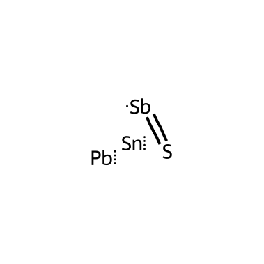 [Pb].[S]=[Sb].[Sn]